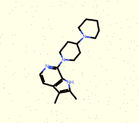 Cc1[nH]c2c(N3CCC(N4CCCCC4)CC3)nccc2c1C